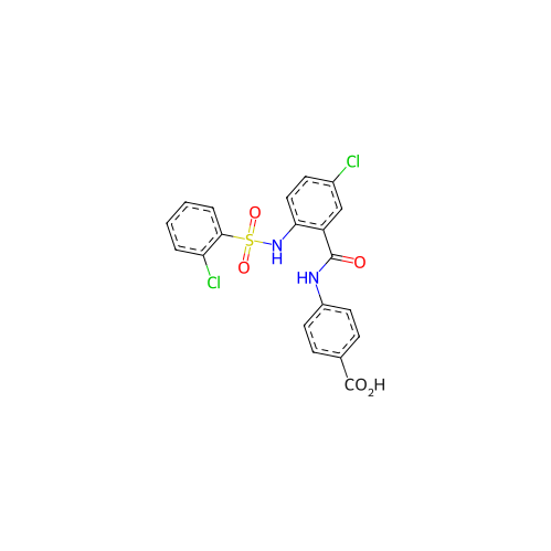 O=C(O)c1ccc(NC(=O)c2cc(Cl)ccc2NS(=O)(=O)c2ccccc2Cl)cc1